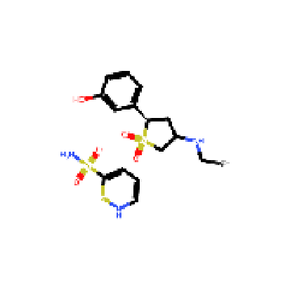 CC(C)CNC1C[C@H](c2cccc(O)c2)S(=O)(=O)C1.NS(=O)(=O)C1=CC=CNS1